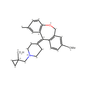 COc1ccc2c(c1)COc1ccc(C)cc1C2=C1CCN(CC2(C(=O)O)CC2)CC1